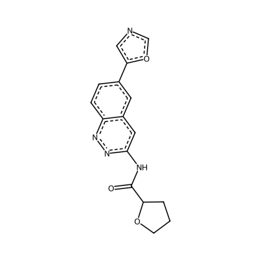 O=C(Nc1cc2cc(-c3cnco3)ccc2nn1)C1CCCO1